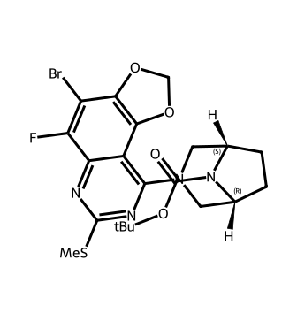 CSc1nc(N2C[C@H]3CC[C@@H](C2)N3C(=O)OC(C)(C)C)c2c3c(c(Br)c(F)c2n1)OCO3